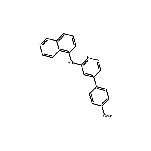 COc1ccc(-c2cnnc(Nc3cccc4cnccc34)c2)cc1